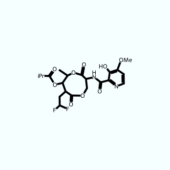 COc1ccnc(C(=O)NC2COC(=O)C(CC(F)F)C(OC(=O)C(C)C)C(C)OC2=O)c1O